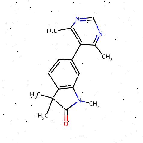 Cc1ncnc(C)c1-c1ccc2c(c1)N(C)C(=O)C2(C)C